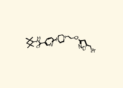 CC(C)Cc1cc(OCCN2CCN(c3ccc(C(=O)NC4C(C)(C)CC4(C)C)cn3)CC2)no1